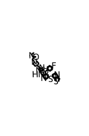 CN(C)C(=O)CN1CCC(c2nsc(Nc3ncc(Sc4ccnc5ccsc45)cc3Oc3ccc(F)cc3)n2)CC1